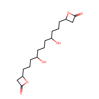 O=C1CC(CCCC(O)CCCC(O)CCCC2CC(=O)O2)O1